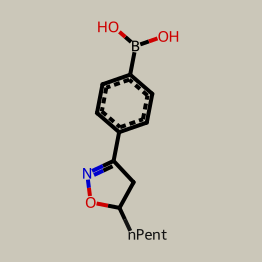 CCCCCC1CC(c2ccc(B(O)O)cc2)=NO1